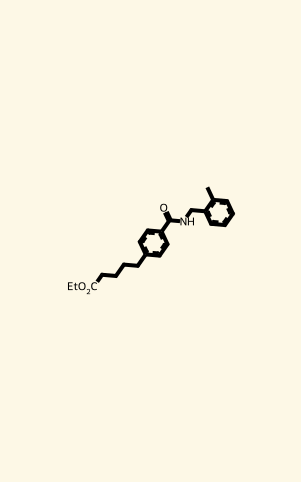 CCOC(=O)CCCCc1ccc(C(=O)NCc2ccccc2C)cc1